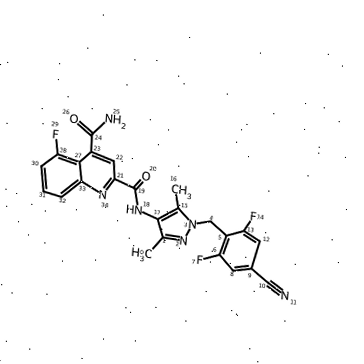 Cc1nn(Cc2c(F)cc(C#N)cc2F)c(C)c1NC(=O)c1cc(C(N)=O)c2c(F)cccc2n1